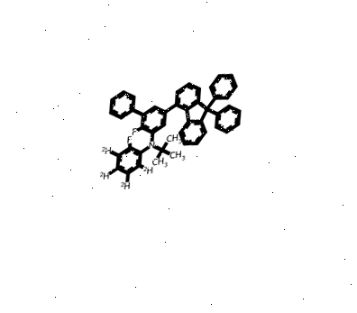 [2H]c1c([2H])c([2H])c(N(c2cc(-c3cccc4c3-c3ccccc3C4(c3ccccc3)c3ccccc3)cc(-c3ccccc3)c2F)C(C)(C)C)c(F)c1[2H]